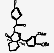 COc1ccc(C2=NN(CC(=O)c3ccc(Cl)cc3)C(=O)[C@@H]3CCCC[C@H]23)cc1OC